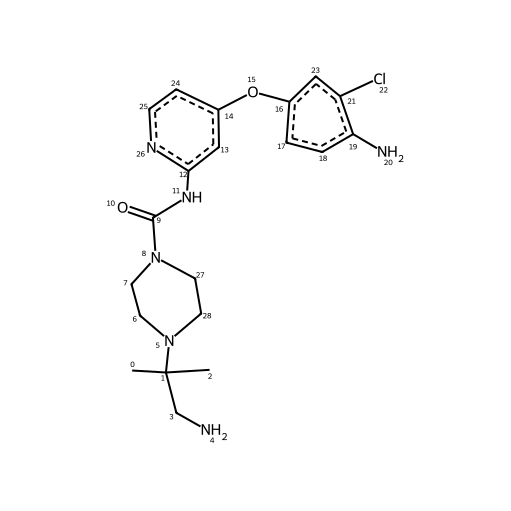 CC(C)(CN)N1CCN(C(=O)Nc2cc(Oc3ccc(N)c(Cl)c3)ccn2)CC1